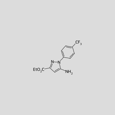 CCOC(=O)c1cc(N)n(-c2ccc(C(F)(F)F)cc2)n1